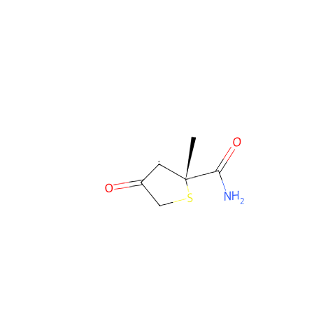 C[C@]1(C(N)=O)[CH]C(=O)CS1